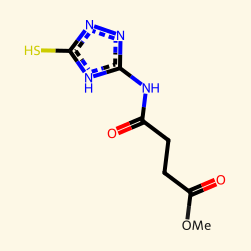 COC(=O)CCC(=O)Nc1nnc(S)[nH]1